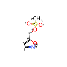 CS(=O)(=O)OCc1ccno1